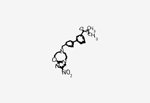 CN(C)C(=O)c1cccc(-c2ccc(CN3CCOc4nc([N+](=O)[O-])cn4CC3)cc2)c1